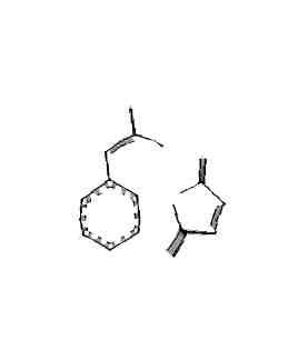 CC(C)=Cc1ccccc1.O=C1C=CC(=O)O1